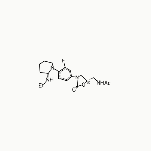 CCNC1CCCCN1c1ccc(N2C[C@H](CNC(C)=O)OC2=O)cc1F